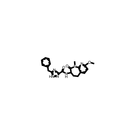 COc1ccc2c(n1)N(C)C(=O)C(NC(=O)c1n[nH]c(Cc3ccccc3)n1)CC2